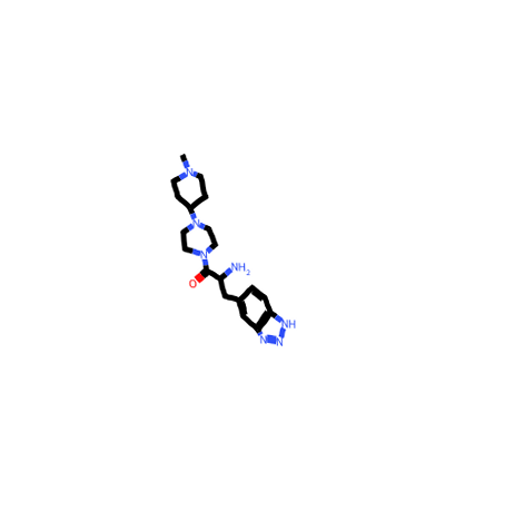 CN1CCC(N2CCN(C(=O)C(N)Cc3ccc4[nH]nnc4c3)CC2)CC1